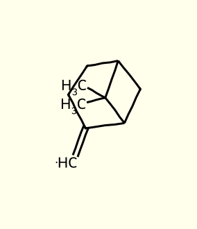 [CH]=C1CCC2CC1C2(C)C